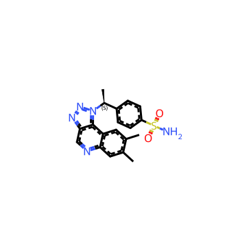 Cc1cc2ncc3nnn([C@@H](C)c4ccc(S(N)(=O)=O)cc4)c3c2cc1C